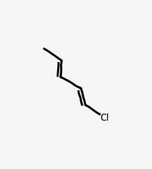 C/C=C/C=C/Cl